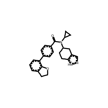 O=C(c1ccc(-c2cccc3c2OCC3)cc1)N(C1CC1)C1CCc2[nH]ncc2C1